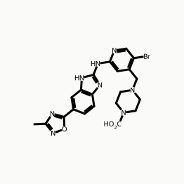 Cc1noc(-c2ccc3nc(Nc4cc(CN5CCN(C(=O)O)CC5)c(Br)cn4)[nH]c3c2)n1